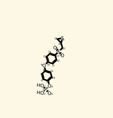 O=P(O)(O)Oc1ccc(Oc2ccc(S(=O)(=O)CC3CS3)cc2)cc1